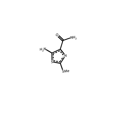 CSc1nc(C(N)=O)c(N)s1